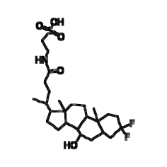 CC(CCC(=O)NCCS(=O)(=O)O)C1CCC2C3C(O)CC4CC(F)(F)CCC4(C)C3CCC12C